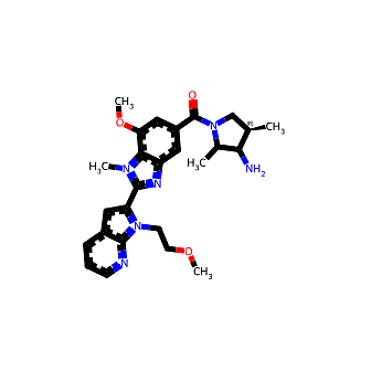 COCCn1c(-c2nc3cc(C(=O)N4C[C@@H](C)C(N)C4C)cc(OC)c3n2C)cc2cccnc21